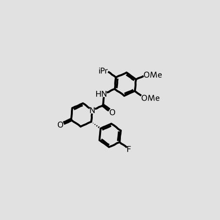 COc1cc(NC(=O)N2C=CC(=O)C[C@H]2c2ccc(F)cc2)c(C(C)C)cc1OC